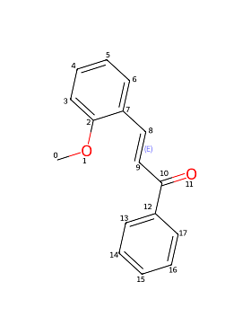 COc1ccccc1/C=C/C(=O)c1ccccc1